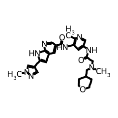 Cc1ncc(NC(=O)CN(C)CC2CCOCC2)cc1NC(=O)c1cnc2[nH]c(-c3cnn(C)c3)cc2c1